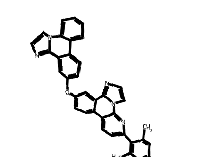 Cc1cc(C)c(-c2ccc3c4ccc(Oc5ccc6c7ccccc7n7ccnc7c6c5)cc4c4nccn4c3n2)c(C)c1